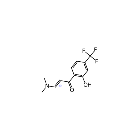 CN(C)/C=C/C(=O)c1ccc(C(F)(F)F)cc1O